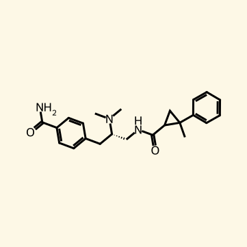 CN(C)[C@H](CNC(=O)C1CC1(C)c1ccccc1)Cc1ccc(C(N)=O)cc1